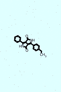 CCc1ccc(C2=C3C(=O)NC(c4ccccc4)=C3C(=O)N2)cc1